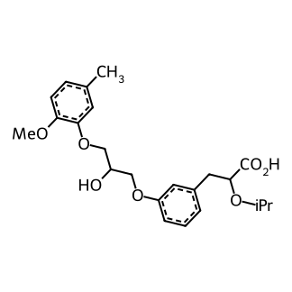 COc1ccc(C)cc1OCC(O)COc1cccc(CC(OC(C)C)C(=O)O)c1